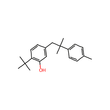 Cc1ccc(C(C)(C)Cc2ccc(C(C)(C)C)c(O)c2)cc1